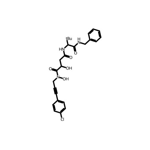 CC(C)(C)C(NC(=O)CC(O)C(=O)N(O)CC#Cc1ccc(Cl)cc1)C(=O)NCc1ccccc1